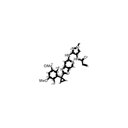 C=CC(=O)Nc1cn(C)nc1Nc1cc2nc(C3(c4c(F)c(OC)cc(OC)c4F)CC3)oc2cn1